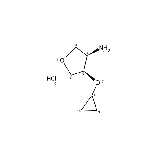 Cl.N[C@@H]1COC[C@@H]1OC1CC1